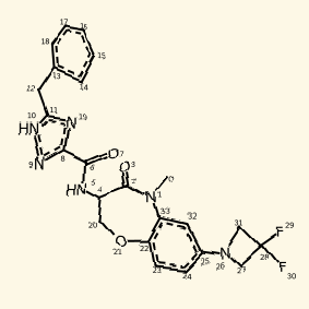 CN1C(=O)C(NC(=O)c2n[nH]c(Cc3ccccc3)n2)COc2ccc(N3CC(F)(F)C3)cc21